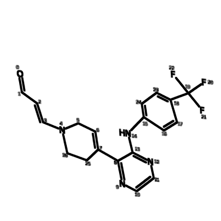 O=CC=CN1CC=C(c2nccnc2Nc2ccc(C(F)(F)F)cc2)CC1